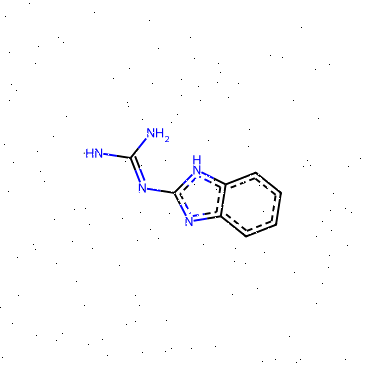 [NH]C(N)=Nc1nc2ccccc2[nH]1